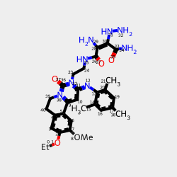 CCOc1cc2c(cc1OC)-c1c/c(=N\c3c(C)cc(C)cc3C)n(CCNC(=O)/C(N)=C(/NN)C(N)=O)c(=O)n1CC2